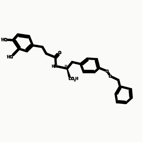 O=C(CCc1ccc(O)c(O)c1)N[C@@H](Cc1ccc(OOCc2ccccc2)cc1)C(=O)O